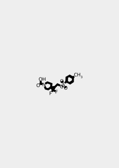 Cc1ccc(S(=O)(=O)OCC2C(F)(F)C23CCN(C(=O)O)CC3)cc1